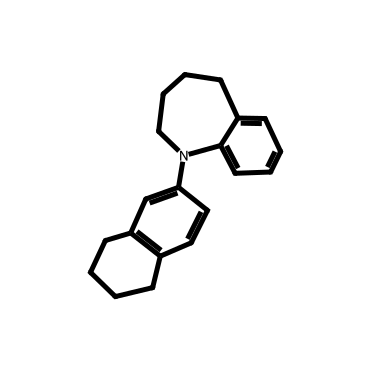 c1ccc2c(c1)CCCCN2c1ccc2c(c1)CCCC2